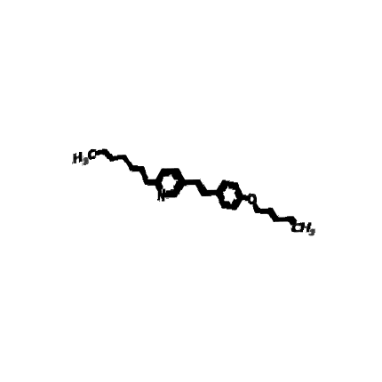 CCCCCCCc1ccc(CCc2ccc(OCCCCC)cc2)cn1